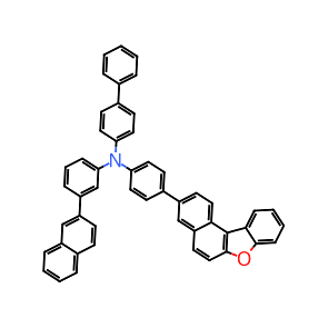 c1ccc(-c2ccc(N(c3ccc(-c4ccc5c(ccc6oc7ccccc7c65)c4)cc3)c3cccc(-c4ccc5ccccc5c4)c3)cc2)cc1